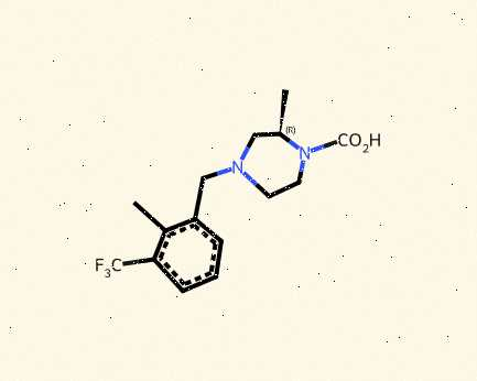 Cc1c(CN2CCN(C(=O)O)[C@H](C)C2)cccc1C(F)(F)F